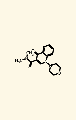 CN(C)C(=O)c1cn(N2CCOCC2)c2ccccc2c1=O